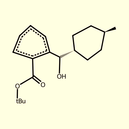 CC(C)(C)OC(=O)c1ccccc1C(O)[C@H]1CC[C@H](C)CC1